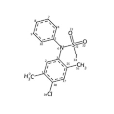 Cc1cc(N(c2[c]cccc2)S(=O)(=O)I)c(C)cc1Cl